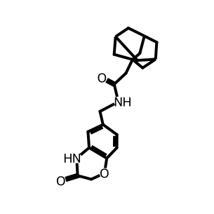 O=C(CC12CC3CC(CC(C3)C1)C2)NCc1ccc2c(c1)NC(=O)CO2